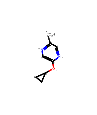 O=C(O)c1cnc(OC2CC2)cn1